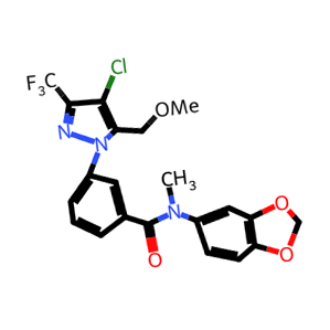 COCc1c(Cl)c(C(F)(F)F)nn1-c1cccc(C(=O)N(C)c2ccc3c(c2)OCO3)c1